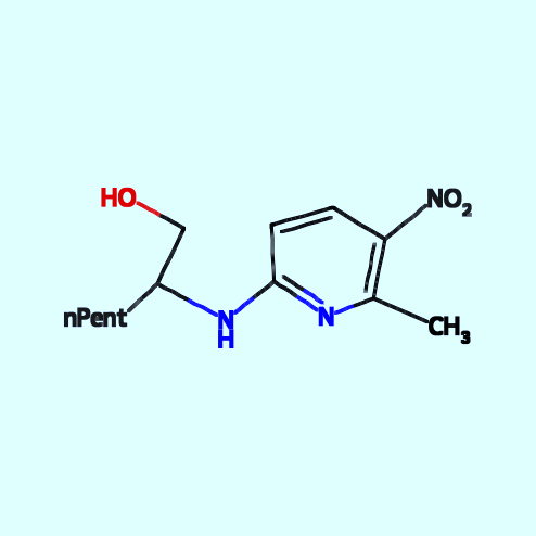 CCCCCC(CO)Nc1ccc([N+](=O)[O-])c(C)n1